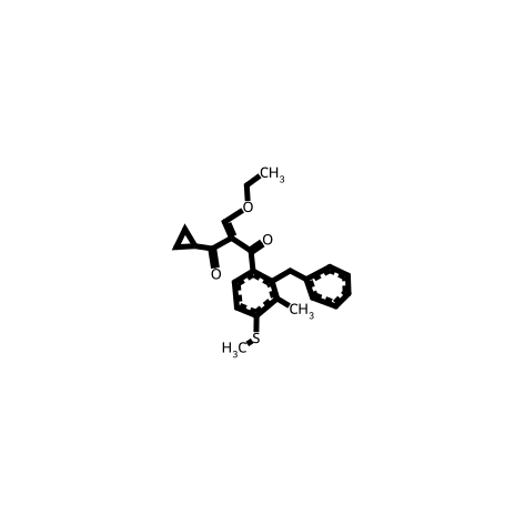 CCO/C=C(\C(=O)c1ccc(SC)c(C)c1Cc1ccccc1)C(=O)C1CC1